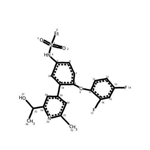 CCS(=O)(=O)Nc1ccc(Oc2ccc(F)cc2F)c(-c2cc(C)nc(C(C)O)c2)c1